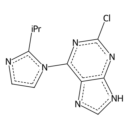 CC(C)c1nccn1-c1nc(Cl)nc2[nH]cnc12